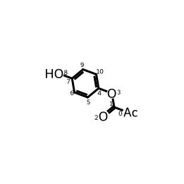 CC(=O)C(=O)Oc1ccc(O)cc1